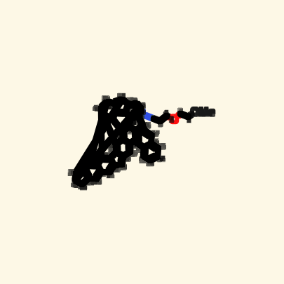 COCCOCCN1CC2C3=c4c5c6c7c(cc8cc9cc%10cc%11cc%12c%13c(c4c4c5c5c7c8c7c9c%10c8c%11c%13c4c8c75)=C(C3)C%12)CC62C1c1ccc2ccccc2c1